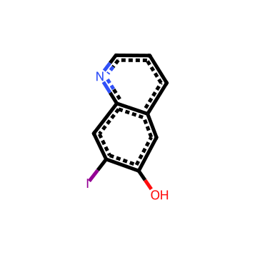 Oc1cc2cccnc2cc1I